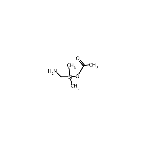 CC(=O)O[Si](C)(C)CN